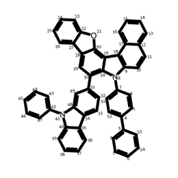 c1ccc(-c2ccc(-n3c4ccc5ccccc5c4c4c5oc6ccccc6c5cc(-c5ccc6c7ccccc7n(-c7ccccc7)c6c5)c43)cc2)cc1